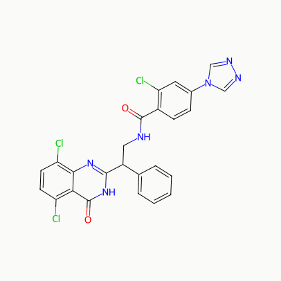 O=C(NCC(c1ccccc1)c1nc2c(Cl)ccc(Cl)c2c(=O)[nH]1)c1ccc(-n2cnnc2)cc1Cl